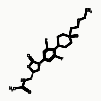 CCOCCP1(=O)CCC(c2c(F)cc(N3C[C@H](CNC(C)=O)OC3=O)cc2F)CC1